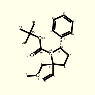 C=C[C@@]1(COC)CC[C@@H](c2ccccc2)N1C(=O)OC(C)(C)C